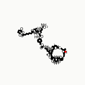 C=C1C[C@@H]2CC[C@@]34CC5O[C@@H]6C(O[C@H]7CCC(CC(=O)C[C@H]8[C@H](CC9O[C@@H](CCC1O2)C[C@@H](C)C9=C)OC(C[C@H](O)CNC(=O)OCc1ccc(NC(=O)[C@H](CCCNC(N)=O)NC(=O)[C@@H](NC(=O)CCCCCC(=O)ON2C(=O)CCC2=O)C(C)C)cc1)[C@@H]8OC)O[C@@H]7[C@@H]6O3)[C@@H]5O4